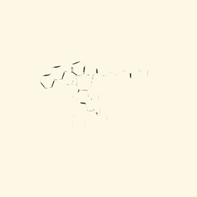 CNC(C)C(=O)NC1CN(C(=O)CCCCC(=O)OC)c2ccccc2N(Cc2c(C)ccc3ccccc23)C1=O.Cl